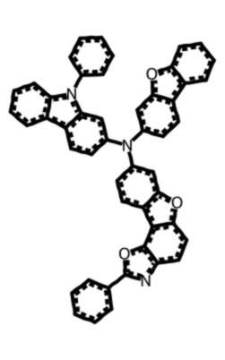 c1ccc(-c2nc3ccc4oc5cc(N(c6ccc7c(c6)oc6ccccc67)c6ccc7c8ccccc8n(-c8ccccc8)c7c6)ccc5c4c3o2)cc1